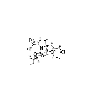 CCOC(=O)C1(CCCCl)CCC(C(F)F)N1C(=O)OC(C)(C)C